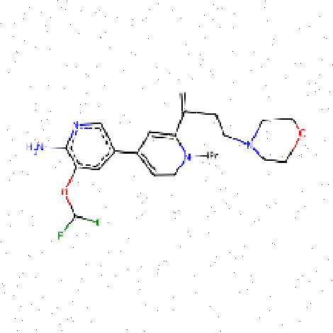 C=C(CCN1CCOCC1)C1=CC(c2cnc(N)c(OC(F)F)c2)=CCN1C(C)C